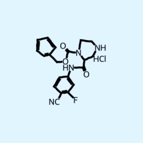 Cl.N#Cc1ccc(NC(=O)C2CNCCN2C(=O)OCc2ccccc2)cc1F